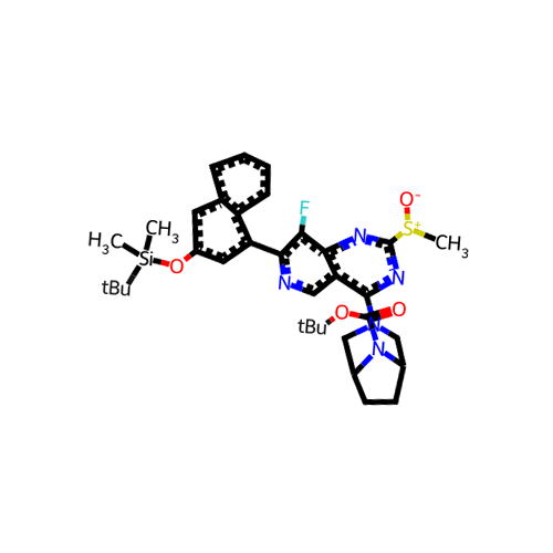 C[S+]([O-])c1nc(N2CC3CCC(C2)N3C(=O)OC(C)(C)C)c2cnc(-c3cc(O[Si](C)(C)C(C)(C)C)cc4ccccc34)c(F)c2n1